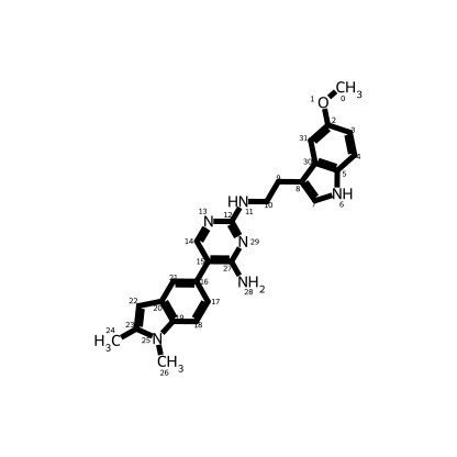 COc1ccc2[nH]cc(CCNc3ncc(-c4ccc5c(c4)cc(C)n5C)c(N)n3)c2c1